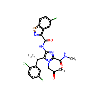 CNC(=O)c1nc(NC(=O)c2nsc3ccc(F)cc23)c([C@@H](C)c2cc(F)ccc2Cl)n1CC(C)=O